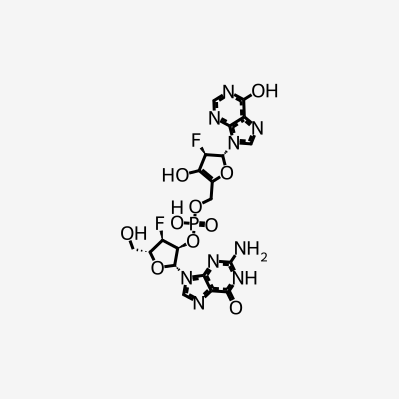 Nc1nc2c(ncn2[C@@H]2O[C@H](CO)[C@@H](F)[C@H]2OP(=O)(O)OCC2=C(O)[C@@H](F)[C@H](n3cnc4c(O)ncnc43)O2)c(=O)[nH]1